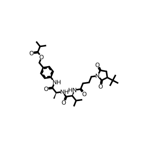 CC(C)C(=O)OCc1ccc(NC(=O)[C@H](C)NC(=O)[C@@H](NC(=O)CCCN2C(=O)CC(C(C)(C)C)C2=O)C(C)C)cc1